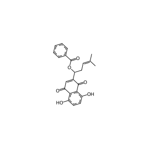 CC(C)=CCC(OC(=O)c1ccccc1)C1=CC(=O)c2c(O)ccc(O)c2C1=O